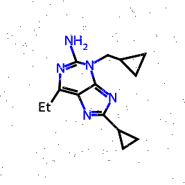 CCc1nc(N)n(CC2CC2)c2nc(C3CC3)nc1-2